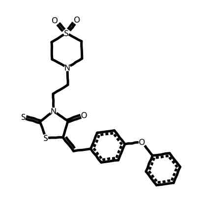 O=C1/C(=C\c2ccc(Oc3ccccc3)cc2)SC(=S)N1CCN1CCS(=O)(=O)CC1